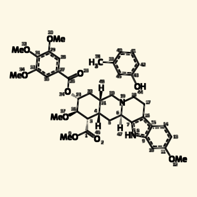 COC(=O)[C@H]1[C@H]2C[C@@H]3c4[nH]c5cc(OC)ccc5c4CCN3C[C@H]2C[C@@H](OC(=O)c2cc(OC)c(OC)c(OC)c2)[C@@H]1OC.Cc1cccc(O)c1